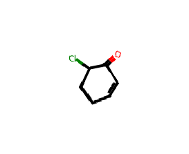 O=C1C=CCCC1Cl